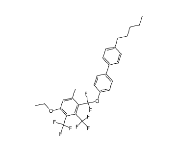 CCCCCc1ccc(-c2ccc(OC(F)(F)c3c(C)cc(OCC)c(C(F)(F)F)c3C(F)(F)F)cc2)cc1